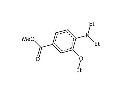 CCOc1cc(C(=O)OC)ccc1N(CC)CC